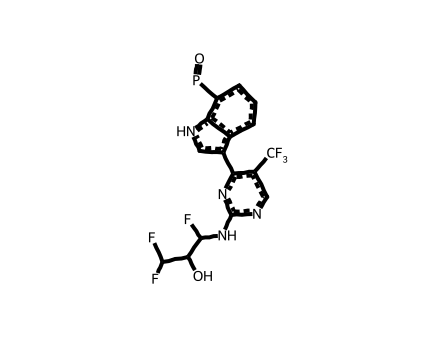 O=Pc1cccc2c(-c3nc(NC(F)C(O)C(F)F)ncc3C(F)(F)F)c[nH]c12